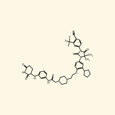 CC1(C)C(=O)N(c2ccc(C#N)c(C(F)(F)F)c2)C(=S)N1c1ccc(OCCN2CCN(CC(=O)Nc3cccc(NC4CCC(=O)NC4=O)c3)CC2)c(C2CCCC2)c1